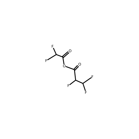 O=C(OC(=O)C(F)C(F)F)C(F)F